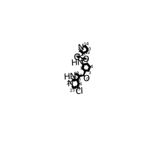 O=C(c1cccc(NS(=O)(=O)c2cccnc2)c1)c1c[nH]c2ncc(Cl)cc12